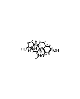 CC[C@H]1C[C@@H]2C(O)CC[C@H]2[C@@H]2CCc3cc(O)cc(O)c3[C@@H]12